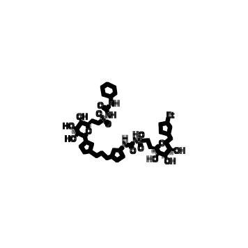 CCC1CCC(CC2O[C@H](CCS(=O)(=O)NC(=O)NC3CCC(CCCC4CCC(C5O[C@H](CCS(=O)(=O)NC(=O)NC6CCCCC6)[C@@H](O)[C@H](O)[C@@H]5O)C4)C3)[C@@H](O)[C@H](O)[C@@H]2O)C1